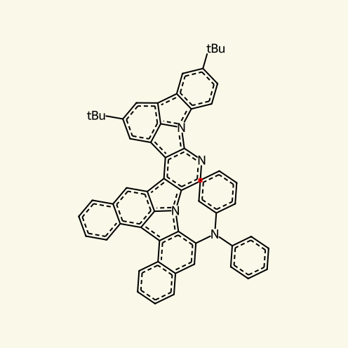 CC(C)(C)c1ccc2c(c1)c1cc(C(C)(C)C)cc3c4c5c6cc7ccccc7c7c8c9ccccc9cc(N(c9ccccc9)c9ccccc9)c8n(c5cnc4n2c13)c67